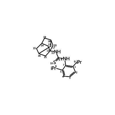 CC(C)c1cccc(C(C)C)c1NC(=S)NC12CC3CC(CC(C3)C1)C2